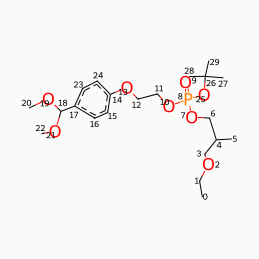 CCOCC(C)COP(=O)(OCCOc1ccc(C(OC)OC)cc1)OC(C)(C)C